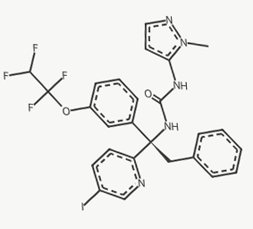 Cn1nccc1NC(=O)N[C@@](Cc1ccccc1)(c1cccc(OC(F)(F)C(F)F)c1)c1ccc(I)cn1